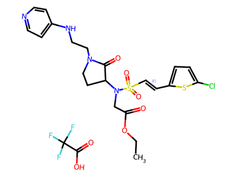 CCOC(=O)CN(C1CCN(CCNc2ccncc2)C1=O)S(=O)(=O)/C=C/c1ccc(Cl)s1.O=C(O)C(F)(F)F